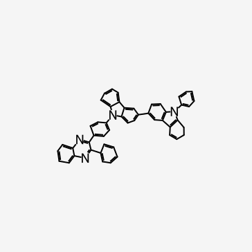 C1=Cc2c(n(-c3ccccc3)c3ccc(-c4ccc5c(c4)c4ccccc4n5-c4ccc(-c5nc6ccccc6nc5-c5ccccc5)cc4)cc23)CC1